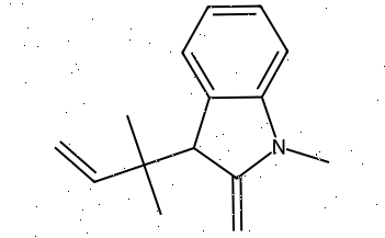 C=CC(C)(C)C1C(=C)N(C)c2ccccc21